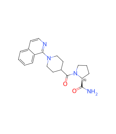 NC(=O)[C@@H]1CCCN1C(=O)C1CCN(c2nccc3ccccc23)CC1